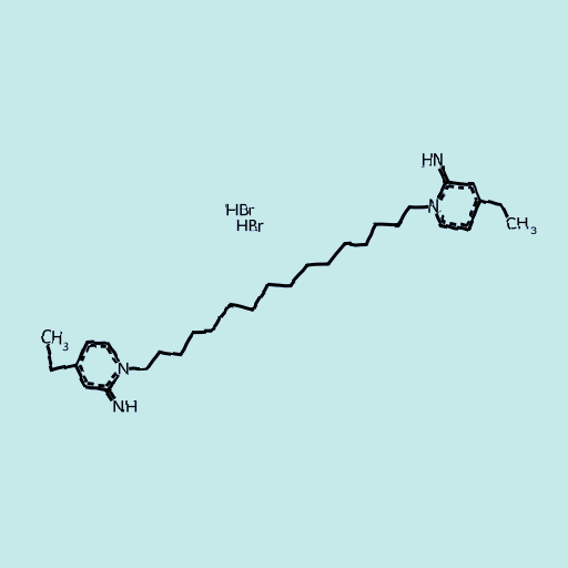 Br.Br.CCc1ccn(CCCCCCCCCCCCCCCCn2ccc(CC)cc2=N)c(=N)c1